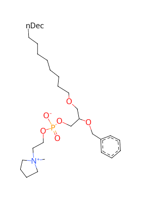 CCCCCCCCCCCCCCCCCCOCC(COP(=O)([O-])OCC[N+]1(C)CCCC1)OCc1ccccc1